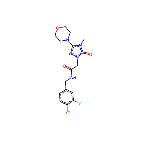 Cn1c(N2CCOCC2)nn(CC(=O)NCc2ccc(Cl)c(F)c2)c1=O